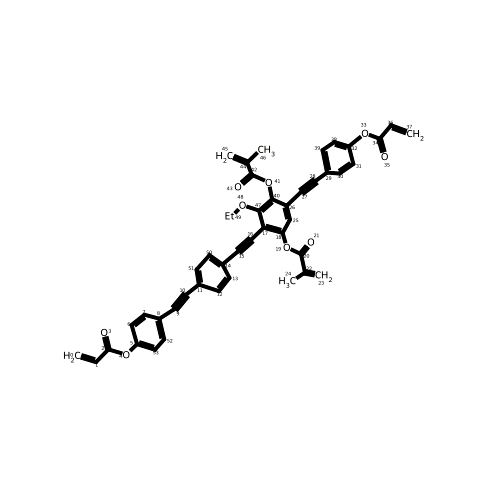 C=CC(=O)Oc1ccc(C#Cc2ccc(C#Cc3c(OC(=O)C(=C)C)cc(C#Cc4ccc(OC(=O)C=C)cc4)c(OC(=O)C(=C)C)c3OCC)cc2)cc1